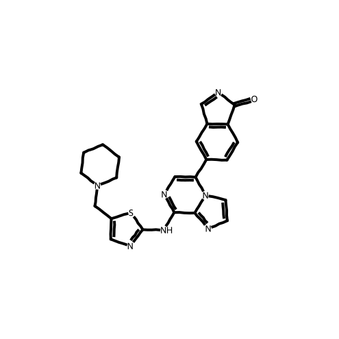 O=C1N=Cc2cc(-c3cnc(Nc4ncc(CN5CCCCC5)s4)c4nccn34)ccc21